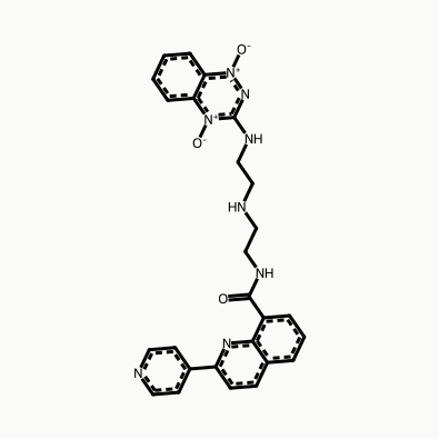 O=C(NCCNCCNc1n[n+]([O-])c2ccccc2[n+]1[O-])c1cccc2ccc(-c3ccncc3)nc12